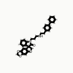 O=C1N(CCCNCCc2ccc(-c3ccccc3)cc2)c2ccccc2C12COc1cc3c(cc12)OCO3